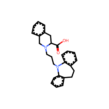 O=C(O)C1Cc2ccccc2CN1CCCN1c2ccccc2CCc2ccccc21